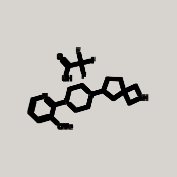 COc1cccnc1N1CCN(C2CCC3(CNC3)C2)CC1.O=C(O)C(F)(F)F